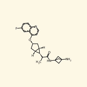 CC(C(=O)NC12CC(N)(C1)C2)[C@H]1[C@@H]2C[C@@H](Oc3ccnc4ccc(F)cc34)C[C@@H]21